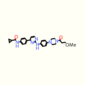 COCCC(=O)N1CCN(c2ccc(Nc3nccc(-c4ccc(NC(=O)C5CC5)cc4)n3)cc2)CC1